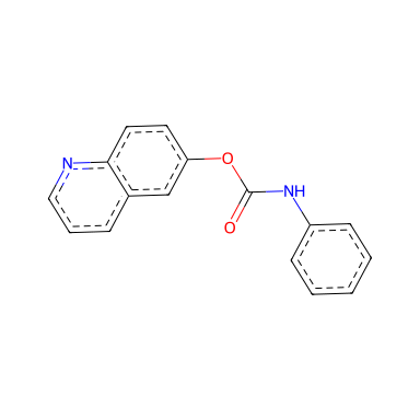 O=C(Nc1ccccc1)Oc1ccc2ncccc2c1